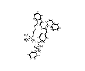 C[Si](C)(C)CCOCn1c(CN(Cc2ccc(CNS(=O)(=O)c3ccccn3)cc2)C2CCCc3cccnc32)nc2ccccc21